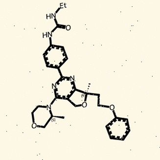 CCNC(=O)Nc1ccc(-c2nc(N3CCOC[C@@H]3C)c3c(n2)[C@@](C)(CCOc2ccccc2)OC3)cc1